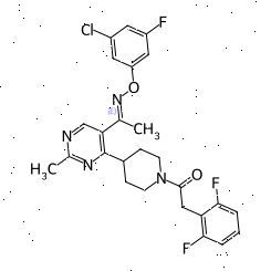 C/C(=N\Oc1cc(F)cc(Cl)c1)c1cnc(C)nc1C1CCN(C(=O)Cc2c(F)cccc2F)CC1